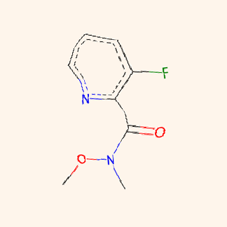 CON(C)C(=O)c1ncccc1F